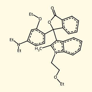 CCOCCn1c(C)c(C2(c3ccc(N(CC)CC)cc3OCC)OC(=O)c3ccccc32)c2ccccc21